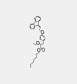 CCCCCCCOC(=O)C(Cc1ccc(OCC=C2c3ccccc3-c3ccccc32)cc1)OCC